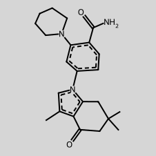 Cc1cn(-c2ccc(C(N)=O)c(N3CCCCC3)c2)c2c1C(=O)CC(C)(C)C2